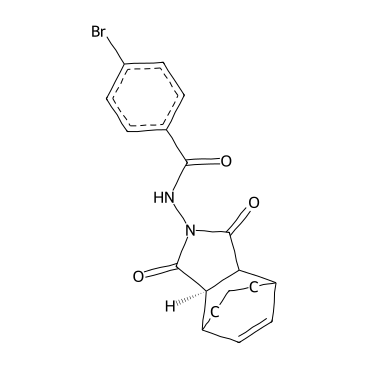 O=C(NN1C(=O)C2C3C=CC(CCC3)[C@H]2C1=O)c1ccc(Br)cc1